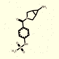 CS(=O)(=O)Nc1ccc(C(=O)N2CC3C(N)C3C2)cc1